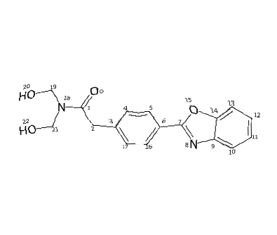 O=C(Cc1ccc(-c2nc3ccccc3o2)cc1)N(CO)CO